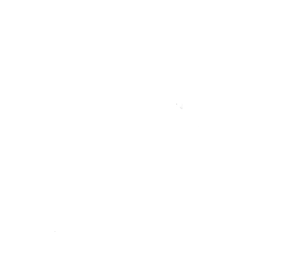 O=C(O)COc1cccc(CC2CCCCC2c2nc(-c3ccccc3)c(-c3ccccc3)o2)c1